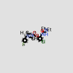 CCN(CC)CC(=O)NCc1cc(Cl)ccc1OCC(=O)N1CC(C)N(Cc2ccc(F)cc2)CC1C